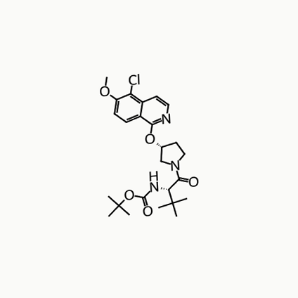 COc1ccc2c(O[C@@H]3CCN(C(=O)[C@@H](NC(=O)OC(C)(C)C)C(C)(C)C)C3)nccc2c1Cl